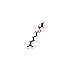 C=CCOCCCCC=C(C)C